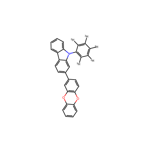 [2H]c1c([2H])c([2H])c(-n2c3ccccc3c3ccc(-c4ccc5c(c4)Oc4ccccc4O5)cc32)c([2H])c1[2H]